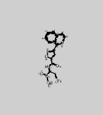 CC(C)C[C@H](NC(=O)C1CC(c2nccc3ccccc23)=NO1)B(O)O